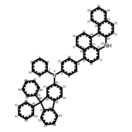 c1ccc(N(c2ccc(-c3ccc4c5c(cccc35)-c3c(ccc5ccccc35)N4)cc2)c2ccc3c(c2)C(c2ccccc2)(c2ccccc2)c2ccccc2-3)cc1